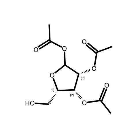 CC(=O)OC1O[C@@H](CO)[C@@H](OC(C)=O)[C@H]1OC(C)=O